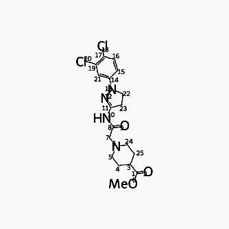 COC(=O)C1CCN(CC(=O)NC2=NN(c3ccc(Cl)c(Cl)c3)CC2)CC1